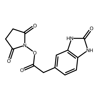 O=C(Cc1ccc2[nH]c(=O)[nH]c2c1)ON1C(=O)CCC1=O